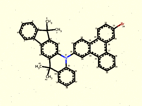 CC1(C)c2ccccc2-c2cc3c(cc21)N(c1ccc2c4ccc(Br)cc4c4ccccc4c2c1)c1ccccc1C3(C)C